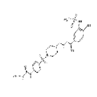 CCCCCCCCNC(=O)Nc1ccc(S(=O)(=O)N2CCC(CNC[C@H](O)c3ccc(O)c(NS(C)(=O)=O)c3)CC2)cc1